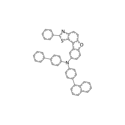 c1ccc(-c2ccc(N(c3ccc(-c4cccc5ccccc45)cc3)c3ccc4oc5ccc6nc(-c7ccccc7)sc6c5c4c3)cc2)cc1